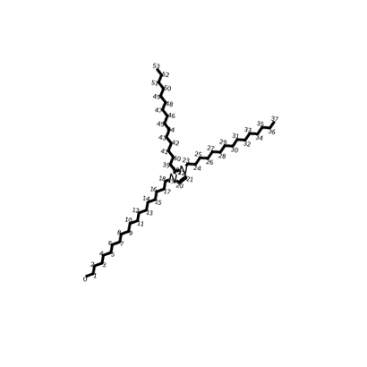 CCCCCCCCCCCCCCCCCCCN1C=CN(CCCCCCCCCCCCCCC)C1CCCCCCCCCCCCCCC